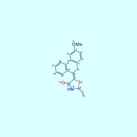 COc1ccc(CC(=C2SC(=S)NC2=O)c2ccccc2)cc1